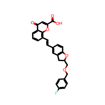 O=C(O)c1cc(=O)c2cccc(C=Cc3ccc4c(c3)CC(COCc3ccc(F)cc3)O4)c2o1